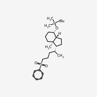 CC(CCCS(=O)(=O)c1ccccc1)[C@H]1CC[C@H]2[C@@H](O[Si](C)(C)C(C)(C)C)CCC[C@]12C